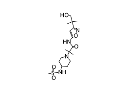 CC(C)(CO)c1cc(NC(=O)C(C)(C)N2CCC(NS(C)(=O)=O)CC2)on1